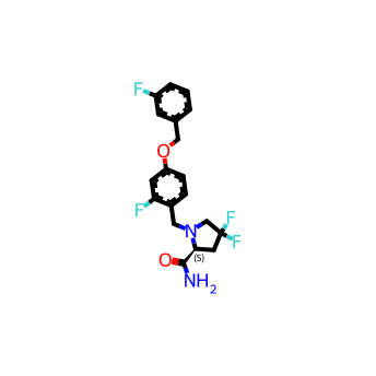 NC(=O)[C@@H]1CC(F)(F)CN1Cc1ccc(OCc2cccc(F)c2)cc1F